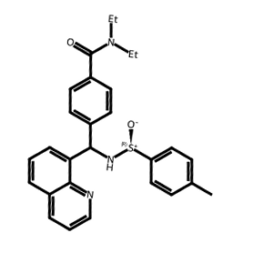 CCN(CC)C(=O)c1ccc(C(N[S@@+]([O-])c2ccc(C)cc2)c2cccc3cccnc23)cc1